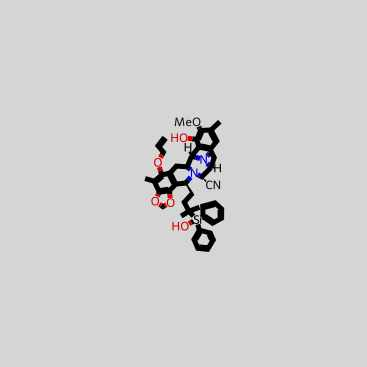 C=CCOc1c(C)c2c(c3c1CC1[C@@H]4c5c(cc(C)c(OC)c5O)C[C@@H]([C@H](C#N)N1[C@H]3CCC(C)(C)[Si](O)(c1ccccc1)c1ccccc1)N4C)OCO2